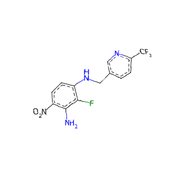 Nc1c([N+](=O)[O-])ccc(NCc2ccc(C(F)(F)F)nc2)c1F